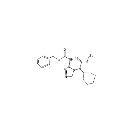 CC(C)(C)OC(=O)N(C1CCCCC1)N1CN=NN1NC(=O)OCc1ccccc1